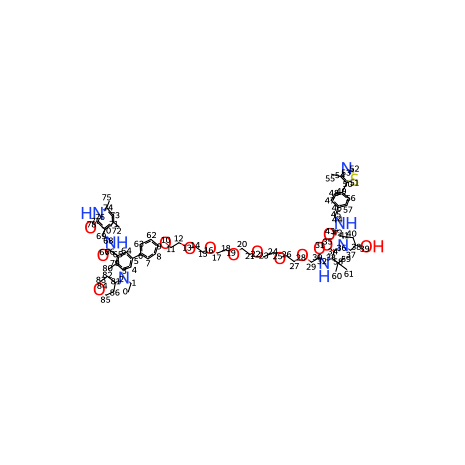 CCN(c1cc(-c2ccc(OCCOCCOCCOCCOCCOCCOCC(=O)N[C@H](C(=O)N3C[C@H](O)C[C@H]3C(=O)NCc3ccc(-c4scnc4C)cc3)C(C)(C)C)cc2)cc(C(=O)NCc2c(C)cc(C)[nH]c2=O)c1C)C1CCOCC1